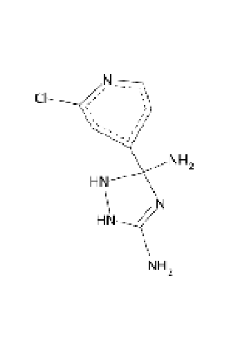 NC1=NC(N)(c2ccnc(Cl)c2)NN1